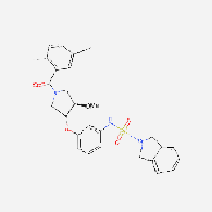 CO[C@@H]1CN(C(=O)c2cc(C)ccc2C)C[C@H]1Oc1cccc(NS(=O)(=O)N2Cc3ccccc3C2)c1